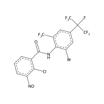 O=Nc1cccc(C(=O)Nc2c(Br)cc(C(F)(C(F)(F)F)C(F)(F)F)cc2C(F)(F)F)c1Cl